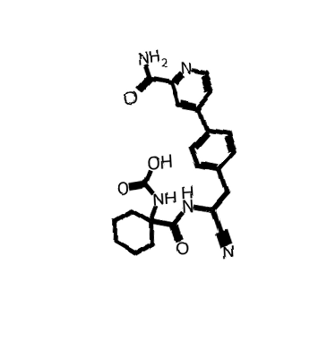 N#CC(Cc1ccc(-c2ccnc(C(N)=O)c2)cc1)NC(=O)C1(NC(=O)O)CCCCC1